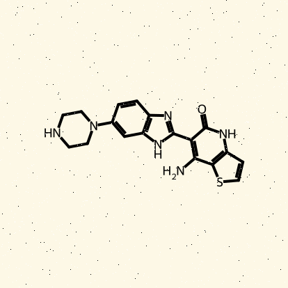 Nc1c(-c2nc3ccc(N4CCNCC4)cc3[nH]2)c(=O)[nH]c2ccsc12